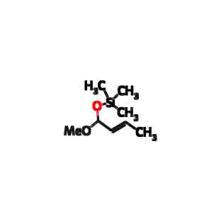 CC=CC(OC)O[Si](C)(C)C